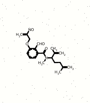 C=C(C)CCC(C(=C)C)N(C)C(=O)c1cccc(OCC(=C)N=O)c1C=O